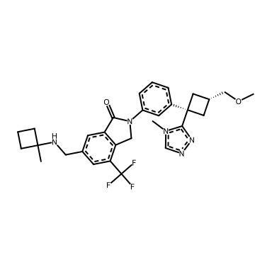 COC[C@H]1C[C@](c2cccc(N3Cc4c(cc(CNC5(C)CCC5)cc4C(F)(F)F)C3=O)c2)(c2nncn2C)C1